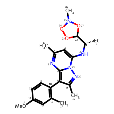 CC[C@H](Nc1cc(C)nc2c(-c3ccc(OC)cc3C)c(C)nn12)C1OON(C)O1